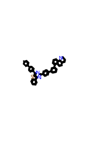 c1ccc(-c2ccc(-c3nc(-c4ccc(-c5cccc(-c6cccc7c6ccc6cccnc67)c5)cc4)nc4c3sc3ccccc34)cc2)cc1